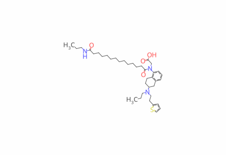 CCCNC(=O)CCCCCCCCCCCCC(=O)N(CC(=O)O)c1cccc2c1CC[C@H](N(CCC)CCc1cccs1)C2